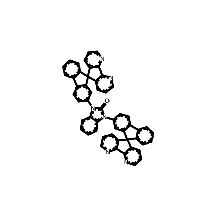 O=c1n(-c2ccc3c(c2)C2(c4ccccc4-3)c3cccnc3-c3ncccc32)c2ccccc2n1-c1ccc2c(c1)C1(c3ccccc3-2)c2cccnc2-c2ncccc21